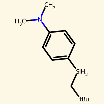 CN(C)c1ccc([SiH2]CC(C)(C)C)cc1